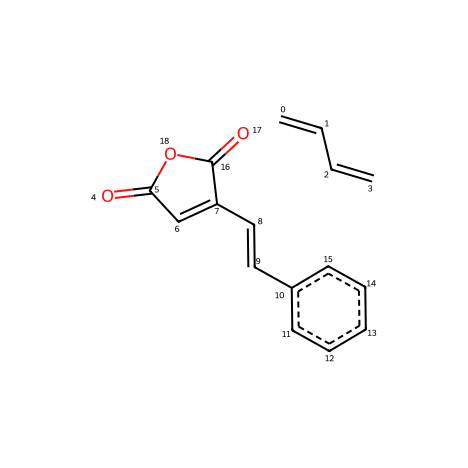 C=CC=C.O=C1C=C(C=Cc2ccccc2)C(=O)O1